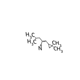 CC(C)C/C(C#N)=C/C1CC1(C)C